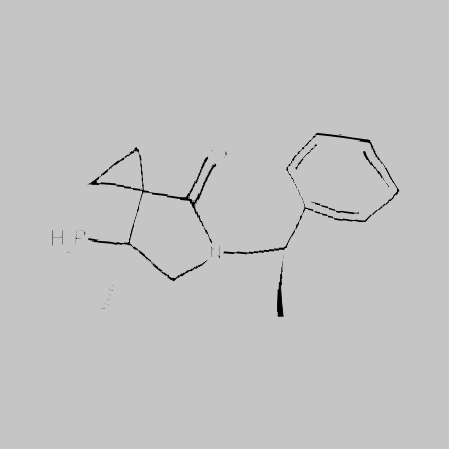 C[C@H](c1ccccc1)N1C[C@@](C)(P)C2(CC2)C1=O